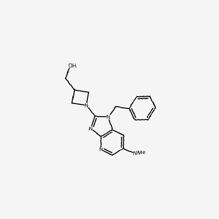 CNc1cnc2nc(N3CC(CO)C3)n(Cc3ccccc3)c2c1